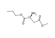 CCCOC(=O)[C@@H](N)CC(=O)OC